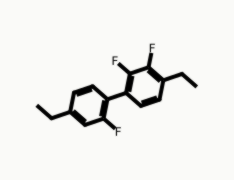 CCc1ccc(-c2ccc(CC)c(F)c2F)c(F)c1